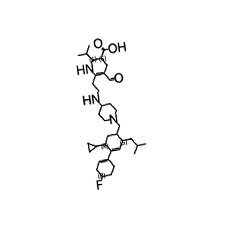 CC(C)C[C@H]1C=C(C2=CC[C@H](F)CC2)[C@@H](C2CC2)CC1CN1CCC(NCCC2=C(C=O)C[C@H](C(=O)O)[C@H](C(C)C)N2)CC1